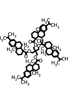 CC(C)c1ccc2c(c1)CCC1C2(C)CCC[C@@]1(C)C(=O)OCC(COC(=O)[C@]1(C)CCC[C@@]2(C)c3ccc(C(C)C)cc3CCC12)(COC(=O)[C@@]1(C)CCC[C@]2(C)c3ccc(C(C)C)cc3CCC12)COC(=O)[C@@]1(C)CCC[C@]2(C)c3ccc(C(C)C)cc3CCC12